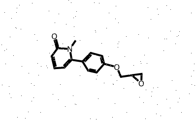 Cn1c(-c2ccc(OCC3CO3)cc2)cccc1=O